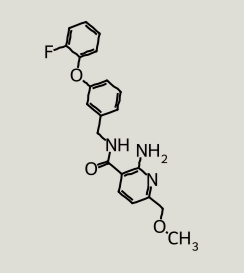 COCc1ccc(C(=O)NCc2cccc(Oc3ccccc3F)c2)c(N)n1